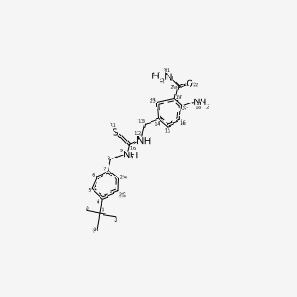 CC(C)(C)c1ccc(CNC(=S)NCc2ccc(N)c(C(N)=O)c2)cc1